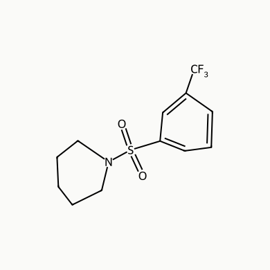 O=S(=O)(c1cccc(C(F)(F)F)c1)N1CCCCC1